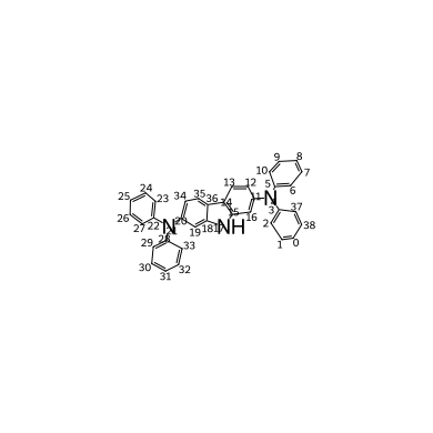 c1ccc(N(c2ccccc2)c2ccc3c(c2)[nH]c2cc(N(c4ccccc4)c4ccccc4)ccc23)cc1